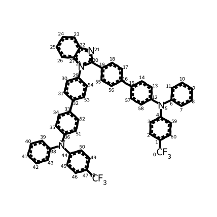 FC(F)(F)c1ccc(N(c2ccccc2)c2ccc(-c3ccc(-c4nc5ccccc5n4-c4ccc(-c5ccc(N(c6ccccc6)c6ccc(C(F)(F)F)cc6)cc5)cc4)cc3)cc2)cc1